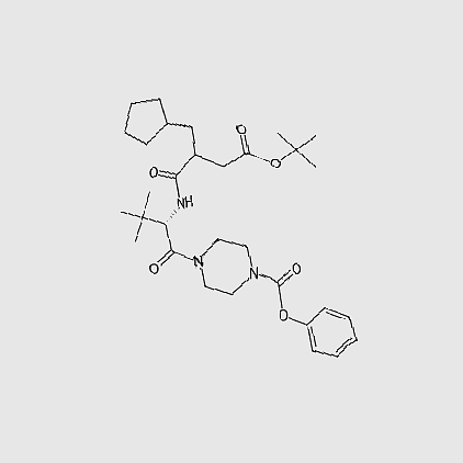 CC(C)(C)OC(=O)CC(CC1CCCC1)C(=O)N[C@H](C(=O)N1CCN(C(=O)Oc2ccccc2)CC1)C(C)(C)C